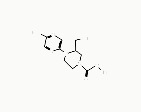 CC(C)(C)OC(=O)N1CCN(c2cnc(C(F)(F)F)cn2)C(CO)C1